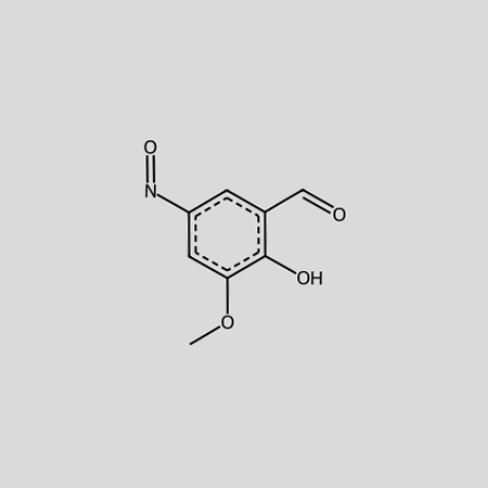 COc1cc(N=O)cc(C=O)c1O